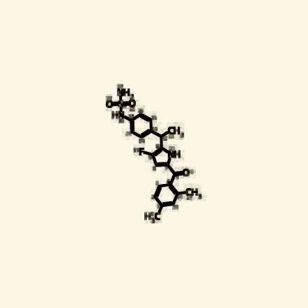 Cc1ccc(C(=O)c2cc(F)c(C(C)c3ccc(NS(N)(=O)=O)cc3)[nH]2)c(C)c1